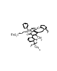 CCOC(=O)CCCNC(c1ccccc1)C1CSc2c(Cc3c(F)cccc3C(F)(F)F)c(C)c(-c3cccc(C(C)(F)F)c3F)c(=O)n21